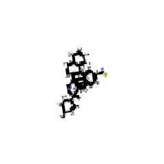 Cc1ccc(C(C)(/C=C\c2c3c(c4cc(CF)ccc4c2C)-c2ccccc2CC3)C2=CC[C@H](C)C=C2)cc1